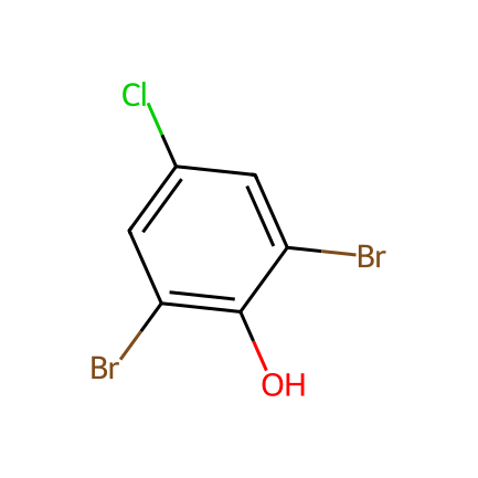 Oc1c(Br)cc(Cl)cc1Br